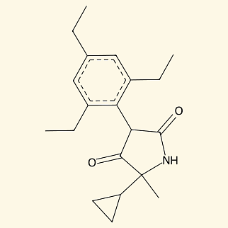 CCc1cc(CC)c(C2C(=O)NC(C)(C3CC3)C2=O)c(CC)c1